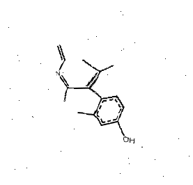 C=C/N=C(/C)C(=C(C)C)c1ccc(O)cc1C